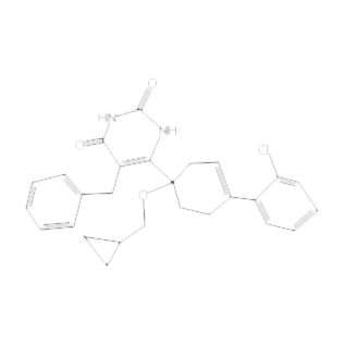 O=c1[nH]c(C2(OCC3CC3)CC=C(c3ccccc3Cl)CC2)c(Cc2ccccc2)c(=O)[nH]1